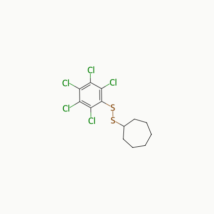 Clc1c(Cl)c(Cl)c(SSC2CCCCCC2)c(Cl)c1Cl